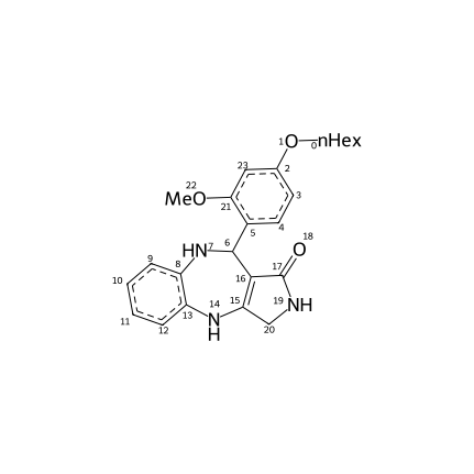 CCCCCCOc1ccc(C2Nc3ccccc3NC3=C2C(=O)NC3)c(OC)c1